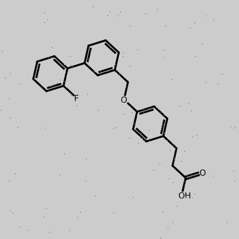 O=C(O)CCc1ccc(OCc2cccc(-c3ccccc3F)c2)cc1